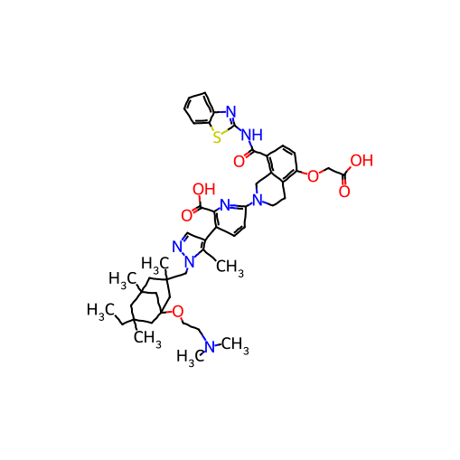 CCC1(C)CC2(C)CC(C)(Cn3ncc(-c4ccc(N5CCc6c(OCC(=O)O)ccc(C(=O)Nc7nc8ccccc8s7)c6C5)nc4C(=O)O)c3C)CC(OCCN(C)C)(C1)C2